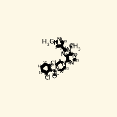 Cn1cc(-c2nc3c(N4CCN([S+]([O-])c5c(Cl)cccc5Cl)CC4)ncnc3n2C)cn1